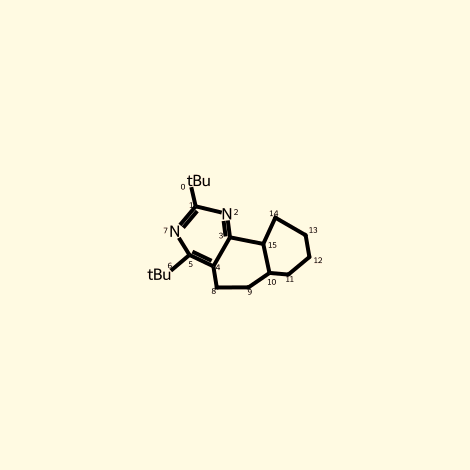 CC(C)(C)c1nc2c(c(C(C)(C)C)n1)CCC1CCCCC21